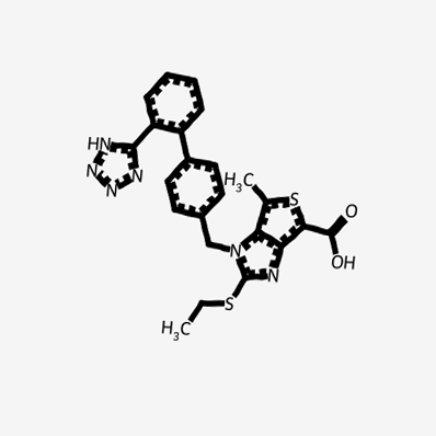 CCSc1nc2c(C(=O)O)sc(C)c2n1Cc1ccc(-c2ccccc2-c2nnn[nH]2)cc1